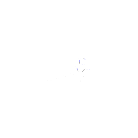 CCCCCCCCCc1nc2ncnn2c(N)c1CCC